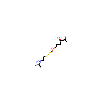 CC(C)NCCSSCOCCCC(=O)C(C)C